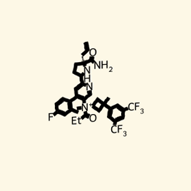 C=CC[C@@]1(C(N)=O)CCC(c2cc(-c3ccc(F)cc3C)c([N+](C)(C(=O)CC)C3CC(C)(c4cc(C(F)(F)F)cc(C(F)(F)F)c4)C3)cn2)N1